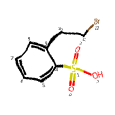 O=S(=O)(O)c1ccccc1CCBr